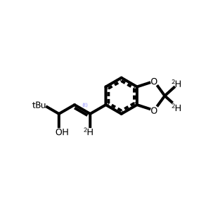 [2H]/C(=C\C(O)C(C)(C)C)c1ccc2c(c1)OC([2H])([2H])O2